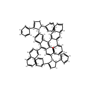 C1=C(c2ccccc2)N(c2ccc3c(-c4cc5ccccc5cc4-c4ccccc4)c4cc(N5C(c6ccccc6)=CCC5c5ccccc5)ccc4c(-c4ccc5ccccc5c4)c3c2)C(c2ccccc2)C1